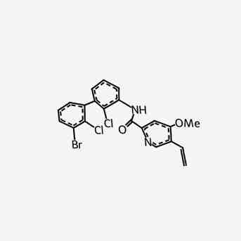 C=Cc1cnc(C(=O)Nc2cccc(-c3cccc(Br)c3Cl)c2Cl)cc1OC